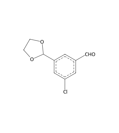 O=Cc1cc(Cl)cc(C2OCCO2)c1